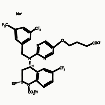 CCOC(=O)N1c2ccc(C(F)(F)F)cc2[C@@H](N(Cc2cc(C(F)(F)F)cc(C(F)(F)F)c2)c2ncc(OCCCC(=O)[O-])cn2)C[C@H]1CC.[Na+]